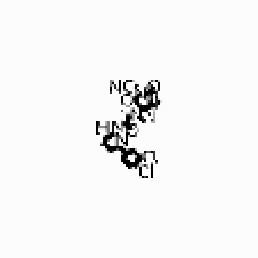 C[C@@H](C(=O)NC1=CCCC(c2ccc(Cl)c(Cl)c2)=N1)n1cnc2c1c(=O)n(CC#N)c(=O)n2C